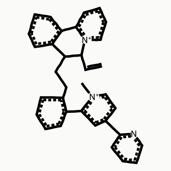 C=CC1C(CCc2ccccc2-c2cc(-c3ccccn3)cc[n+]2C)c2ccccc2-c2cccc[n+]21